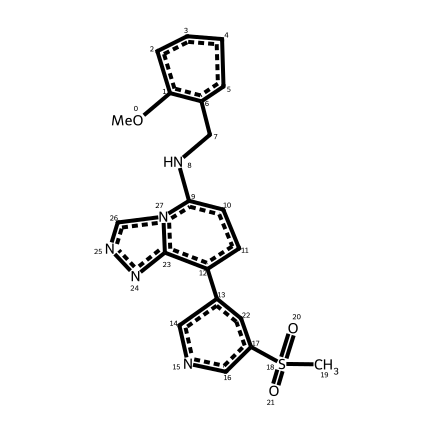 COc1ccccc1CNc1ccc(-c2cncc(S(C)(=O)=O)c2)c2nncn12